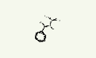 C[SiH](C)N(Cl)B(Cl)c1ccccc1